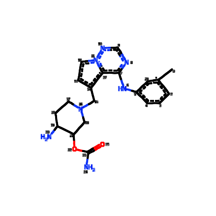 Cc1cccc(Nc2ncnn3ccc(CN4CCC(N)C(OC(N)=O)C4)c23)c1